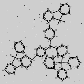 CC1(C)c2ccccc2-c2cccc(-c3ccc(N(c4ccc(-c5ccc6c(c5)C(C)(c5ccccc5)c5ccccc5-6)cc4)c4cccc5c4-c4ccccc4C5(c4ccccc4)c4ccccc4)cc3)c21